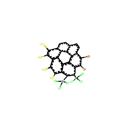 Sc1c(S)c2c(S)c(S)c3c([Si](Cl)(Cl)Cl)c([Si](Cl)(Cl)Cl)c4c(Br)c(Br)c5ccc6ccc1c1c6c5c4c3c21